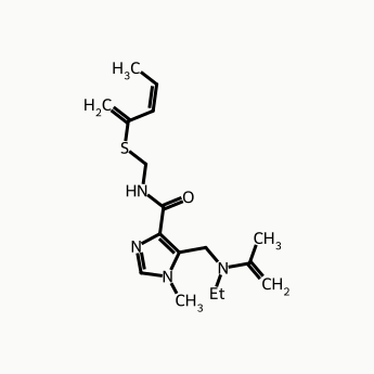 C=C(/C=C\C)SCNC(=O)c1ncn(C)c1CN(CC)C(=C)C